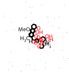 COc1c2c(c(O)c3c4c(c(C)cc13)[C@@H]1O[C@@]3(C5OCCCO5)O[C@@H]1[C@@](OC1CC(O)C(O)(C(C)=O)C(C)O1)(O4)[C@@]31CO1)C(=O)CCC2